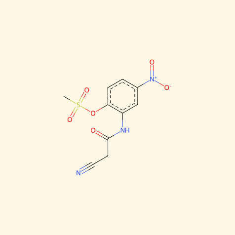 CS(=O)(=O)Oc1ccc([N+](=O)[O-])cc1NC(=O)CC#N